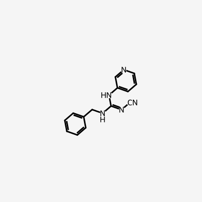 N#CN=C(NCc1ccccc1)Nc1cccnc1